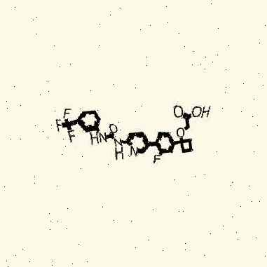 O=C(O)COC1(c2ccc(-c3ccc(NC(=O)Nc4cccc(C(F)(F)F)c4)nc3)c(F)c2)CCC1